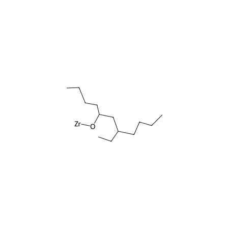 CCCCC(CC)CC(CCCC)[O][Zr]